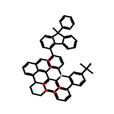 CC(C)(C)c1ccc(-c2ccccc2)c(N(c2ccc(-c3cccc4c3-c3ccccc3C4(C)c3ccccc3)cc2)c2ccccc2-c2cccc3cccc(C4CCCCC4)c23)c1